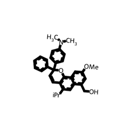 COc1cc(CO)c2cc(C(C)C)c3c(c2c1)OC(c1ccccc1)(c1ccc(N(C)C)cc1)C=C3